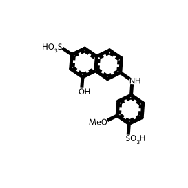 COc1cc(Nc2ccc3cc(S(=O)(=O)O)cc(O)c3c2)ccc1S(=O)(=O)O